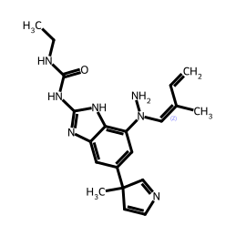 C=C/C(C)=C\N(N)c1cc(C2(C)C=CN=C2)cc2nc(NC(=O)NCC)[nH]c12